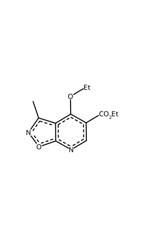 CCOC(=O)c1cnc2onc(C)c2c1OCC